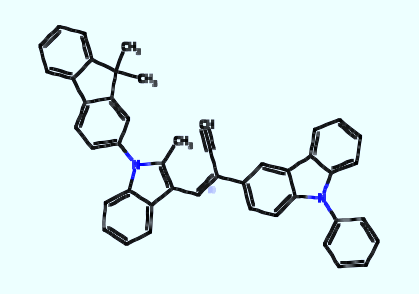 C#C/C(=C\c1c(C)n(-c2ccc3c(c2)C(C)(C)c2ccccc2-3)c2ccccc12)c1ccc2c(c1)c1ccccc1n2-c1ccccc1